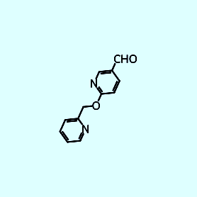 O=Cc1ccc(OCc2ccccn2)nc1